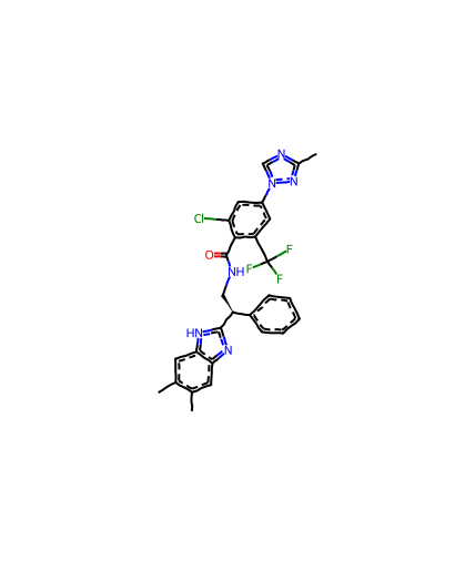 Cc1ncn(-c2cc(Cl)c(C(=O)NC[C@@H](c3ccccc3)c3nc4cc(C)c(C)cc4[nH]3)c(C(F)(F)F)c2)n1